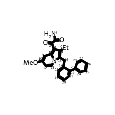 CCc1c(C(=O)C(N)=O)c2cc(OC)ccn2c1Cc1ccccc1-c1ccccc1